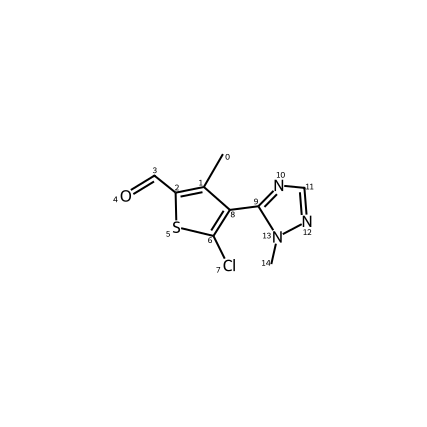 Cc1c(C=O)sc(Cl)c1-c1ncnn1C